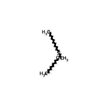 CCCCCCCCCCCCSC[C@H](C)OCCCCCCCCCC